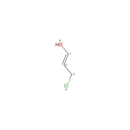 O/C=C/CCl